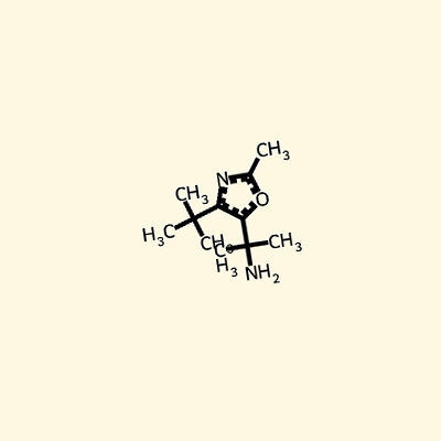 Cc1nc(C(C)(C)C)c(C(C)(C)N)o1